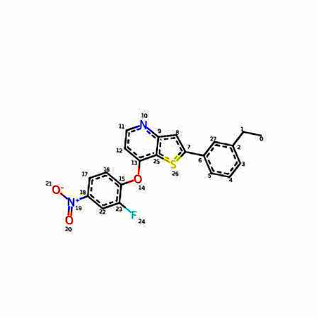 CCc1cccc(-c2cc3nccc(Oc4ccc([N+](=O)[O-])cc4F)c3s2)c1